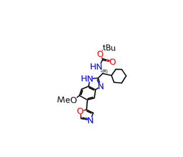 COc1cc2[nH]c([C@H](NC(=O)OC(C)(C)C)C3CCCCC3)nc2cc1-c1cnco1